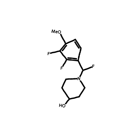 COc1ccc(C(F)N2CCC(O)CC2)c(F)c1F